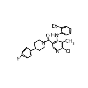 CCc1ccccc1Nc1c(C(=O)N2CCC(c3ccc(F)cc3)CC2)cnc(Cl)c1C